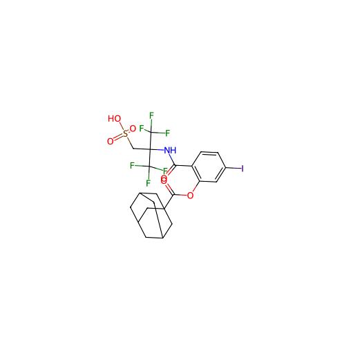 O=C(NC(CS(=O)(=O)O)(C(F)(F)F)C(F)(F)F)c1ccc(I)cc1OC(=O)C12CC3CC(CC(C3)C1)C2